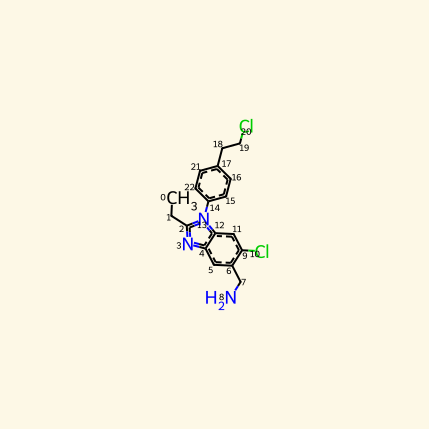 CCc1nc2cc(CN)c(Cl)cc2n1-c1ccc(CCCl)cc1